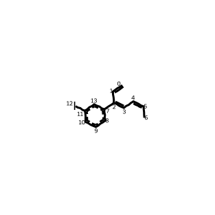 C=C/C(=C\C=C/C)c1cccc(I)c1